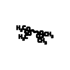 CC1CC(C)OC(CCCC2OC(C)CC(C)O2)O1